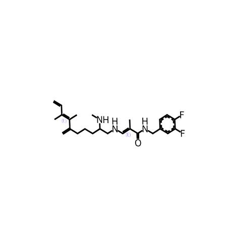 C=C/C(C)=C(\C)C(=C)CCCC(CN/C=C(\C)C(=O)NCc1ccc(F)c(F)c1)NC